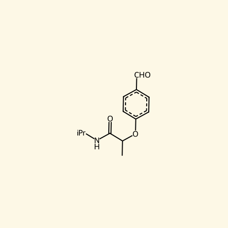 CC(C)NC(=O)C(C)Oc1ccc(C=O)cc1